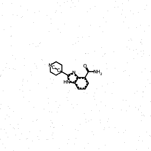 NC(=O)c1cccc2[nH]c(C34CCN(CC3)CC4)nc12